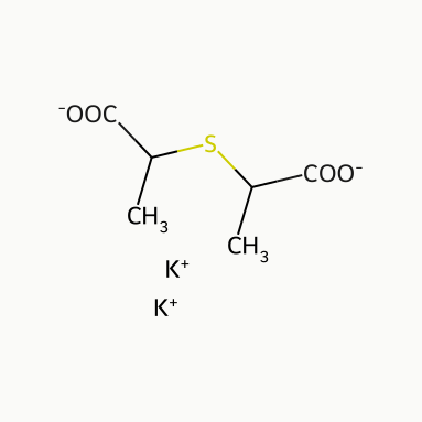 CC(SC(C)C(=O)[O-])C(=O)[O-].[K+].[K+]